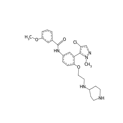 COc1cccc(C(=O)Nc2ccc(OCCNC3CCNCC3)c(-c3c(Cl)cnn3C)c2)c1